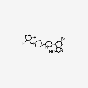 N#Cc1cnn2cc(Br)cc(-c3ccc(N4CCN(Cc5c(F)cccc5F)CC4)nc3)c12